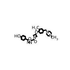 Cc1cc(CN2CCN(C)CC2)ccc1OC1CN(C(=O)c2nnc(-c3ccc(O)cc3)o2)C1